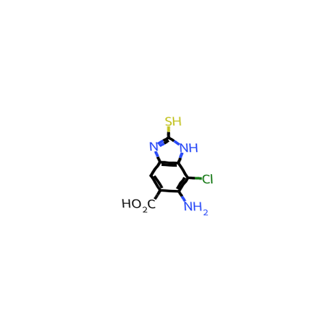 Nc1c(C(=O)O)cc2nc(S)[nH]c2c1Cl